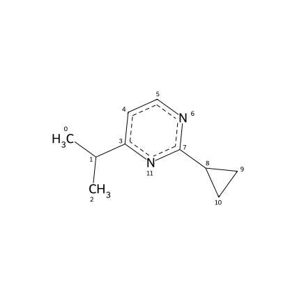 CC(C)c1ccnc(C2CC2)n1